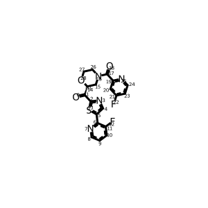 O=C(c1ncc(-c2ncccc2F)s1)[C@@H]1CN(C(=O)c2cc(F)ccn2)CCO1